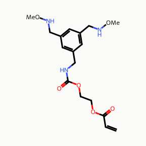 C=CC(=O)OCCOC(=O)NCc1cc(CNOC)cc(CNOC)c1